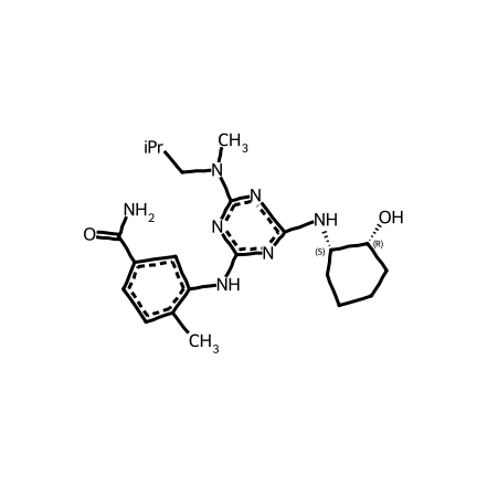 Cc1ccc(C(N)=O)cc1Nc1nc(N[C@H]2CCCC[C@H]2O)nc(N(C)CC(C)C)n1